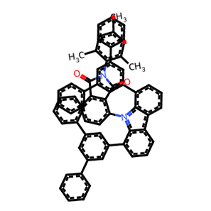 Cc1cc(C)c(N2C(=O)c3cccc(-n4c5c(-c6cc(-c7ccccc7)cc(-c7ccccc7)c6)cccc5c5cccc(-c6cc(-c7ccccc7)cc(-c7ccccc7)c6)c54)c3C2=O)c(C)c1